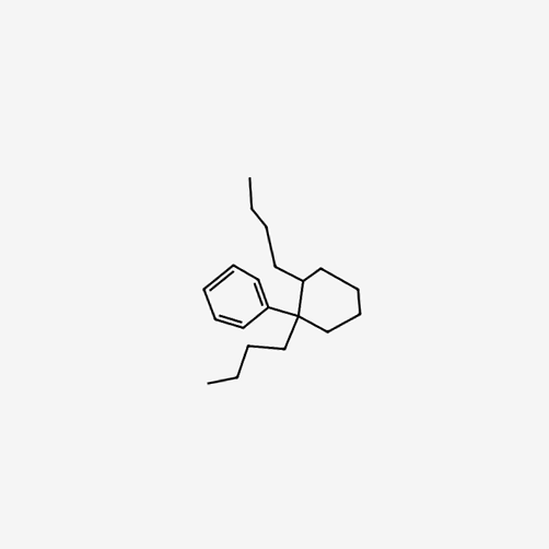 CCCCC1CCCCC1(CCCC)c1ccccc1